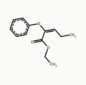 CCC=C(Oc1ccccc1)C(=O)OCC